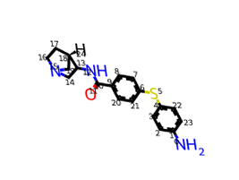 Nc1ccc(Sc2ccc(C(=O)NC3CN4CC[C@H]3C4)cc2)cc1